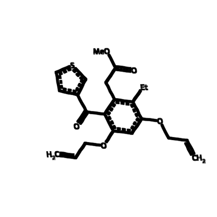 C=CCOc1cc(OCC=C)c(C(=O)c2ccsc2)c(CC(=O)OC)c1CC